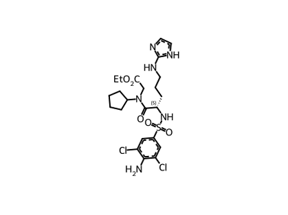 CCOC(=O)CN(C(=O)[C@H](CCCNc1ncc[nH]1)NS(=O)(=O)c1cc(Cl)c(N)c(Cl)c1)C1CCCC1